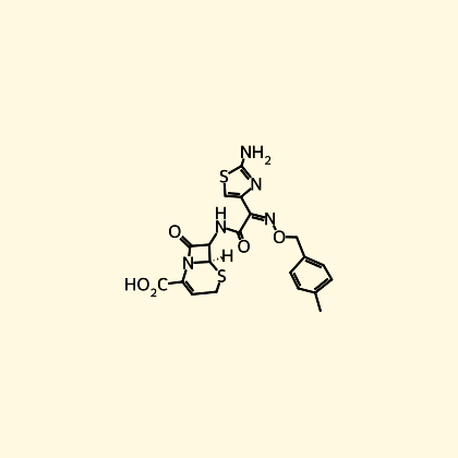 Cc1ccc(CO/N=C(\C(=O)NC2C(=O)N3C(C(=O)O)=CCS[C@H]23)c2csc(N)n2)cc1